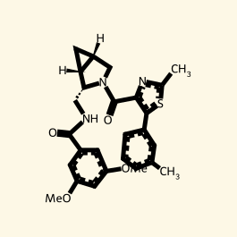 COc1cc(OC)cc(C(=O)NC[C@@H]2[C@@H]3C[C@@H]3CN2C(=O)c2nc(C)sc2-c2cccc(C)c2)c1